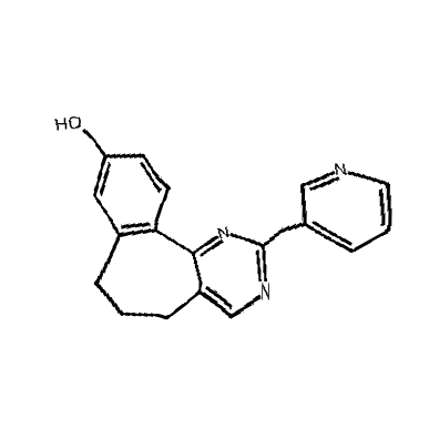 Oc1ccc2c(c1)CCCc1cnc(-c3cccnc3)nc1-2